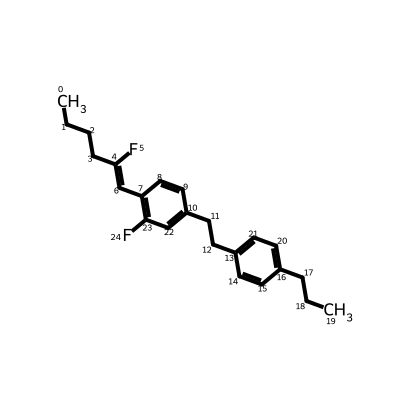 CCCCC(F)=Cc1ccc(CCc2ccc(CCC)cc2)cc1F